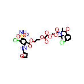 CC(C(=O)c1cccc(Cl)c1)N(C(=O)OCOC(=O)C(=O)OCCCOC(=O)c1cc(S(N)(=O)=O)c(Cl)cc1NCc1ccco1)C(C)(C)C